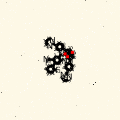 N#Cc1cc(-n2c3ccccc3c3ccc(-c4ncccn4)cc32)c(-n2c3ccccc3c3ccc(-c4ncccn4)cc32)cc1-c1c(F)cccc1F